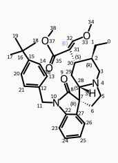 CC[C@H]1CN2CC[C@]3(C(=O)N(Cc4ccc(C(C)(C)C)cc4)c4ccccc43)[C@@H]2C[C@@H]1/C(=C\OC)C(=O)OC